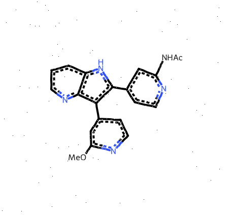 COc1cc(-c2c(-c3ccnc(NC(C)=O)c3)[nH]c3cccnc23)ccn1